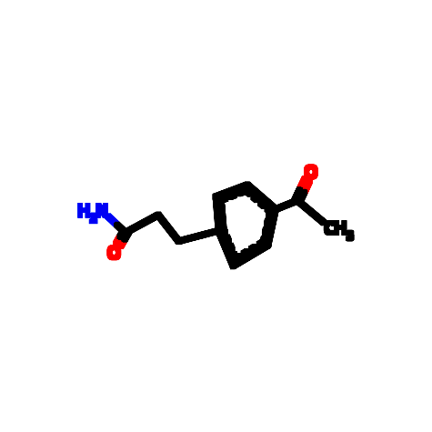 CC(=O)c1ccc(CCC(N)=O)cc1